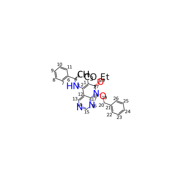 CCOC(=O)c1c(NC(C)c2ccccc2)c2cncnc2n(OCc2ccccc2)c1=O